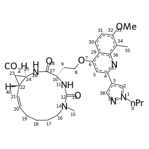 CCCn1cc(-c2cc(OCC[C@@H]3NC(=O)N(C)CCCC/C=C\[C@@H]4C[C@@]4(C(=O)O)NC3=O)c3ccc(OC)c(C)c3n2)cn1